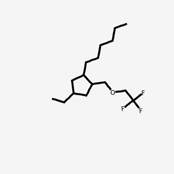 CCCCCCC1CC(CC)CC1COCC(F)(F)F